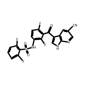 N#Cc1cnc2[nH]cc(C(=O)c3c(F)ccc(NS(=O)(=O)c4c(F)cccc4F)c3F)c2c1